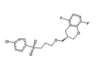 O=S(=O)(CCCOC[C@@H]1COc2c(F)ccc(F)c2C1)c1ccc(Cl)cc1